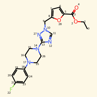 CCOC(=O)c1ccc(Cn2cnc(N3CCN(c4ccc(F)cc4)CC3)n2)o1